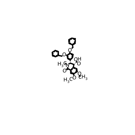 COc1cc2c(cc1OC)[C@@H](C(=O)O)[C@@H](c1ccc(OCc3ccccc3)c(OCc3ccccc3)c1)N(C)C2=O